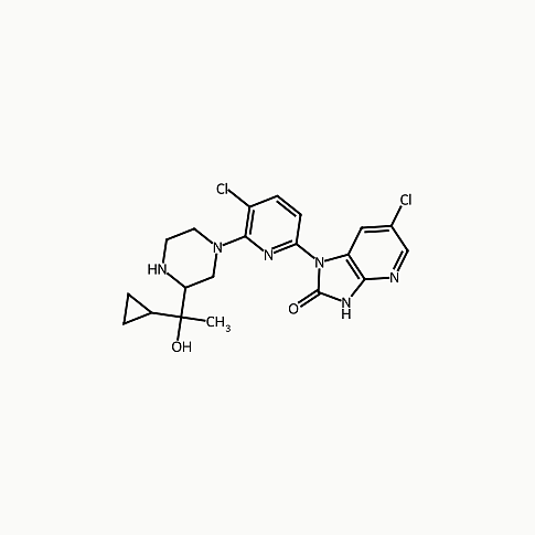 CC(O)(C1CC1)C1CN(c2nc(-n3c(=O)[nH]c4ncc(Cl)cc43)ccc2Cl)CCN1